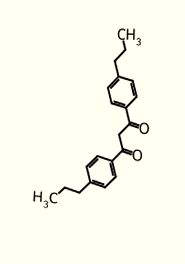 CCCc1ccc(C(=O)CC(=O)c2ccc(CCC)cc2)cc1